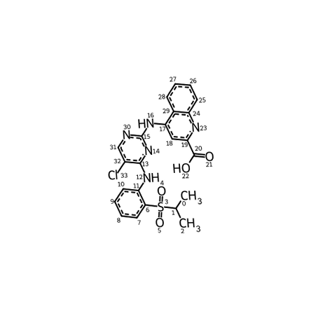 CC(C)S(=O)(=O)c1ccccc1Nc1nc(Nc2cc(C(=O)O)nc3ccccc23)ncc1Cl